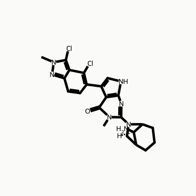 Cn1nc2ccc(-c3c[nH]c4nc(N5CC6CCCC5[C@@H]6N)n(C)c(=O)c34)c(Cl)c2c1Cl